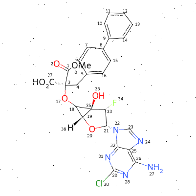 COC(=O)[C@@](Cc1ccc(-c2ccccc2)cc1)(OC1[C@H]2O[C@@H](n3cnc4c(N)nc(Cl)nc43)[C@@H](F)[C@@]12O)C(=O)O